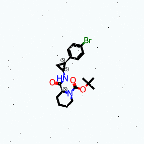 CC(C)(C)OC(=O)N1CCCC[C@H]1C(=O)N[C@H]1C[C@H]1c1ccc(Br)cc1